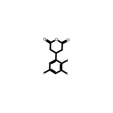 O=C1CC(c2cc(I)cc(I)c2I)CC(=O)O1